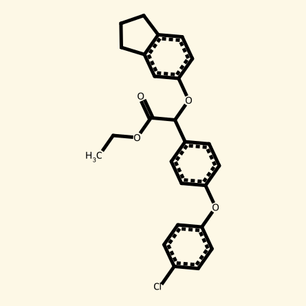 CCOC(=O)C(Oc1ccc2c(c1)CCC2)c1ccc(Oc2ccc(Cl)cc2)cc1